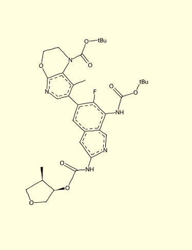 Cc1c(-c2cc3cc(NC(=O)O[C@H]4COC[C@H]4C)ncc3c(NC(=O)OC(C)(C)C)c2F)cnc2c1N(C(=O)OC(C)(C)C)CCO2